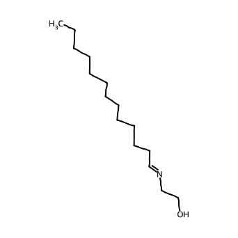 CCCCCCCCCCCCC=NCCO